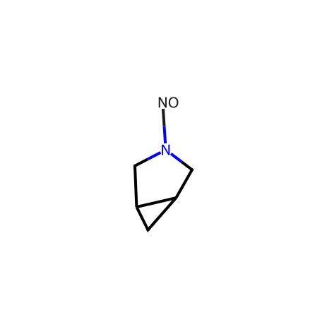 O=NN1CC2CC2C1